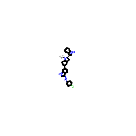 CN1c2ccc(-c3ccc4c(/N=N/c5ccc(Cl)cc5)c[nH]c4c3)cc2C[C@@H]1c1c[nH]c2ccccc12